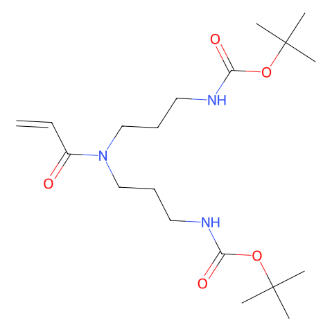 C=CC(=O)N(CCCNC(=O)OC(C)(C)C)CCCNC(=O)OC(C)(C)C